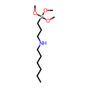 CCCCCCNCCC[Si](OC)(OC)OC